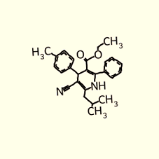 CCOC(=O)C1=C(c2ccccc2)NC(CC(C)C)=C(C#N)C1c1ccc(C)cc1